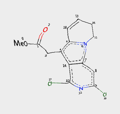 COC(=O)Cc1c2n(c3cc(Cl)nc(Cl)c13)CCC=C2